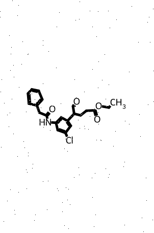 CCOC(=O)CCC(C=O)c1cc(Cl)cc(NC(=O)Cc2ccccc2)c1